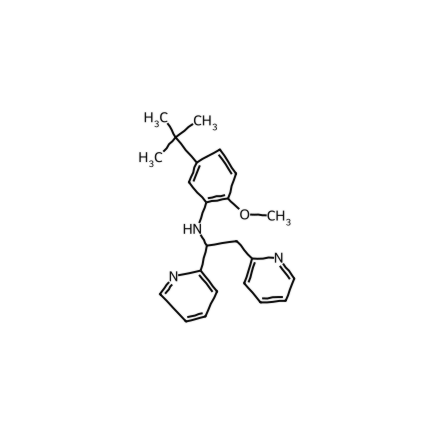 COc1ccc(C(C)(C)C)cc1NC(Cc1ccccn1)c1ccccn1